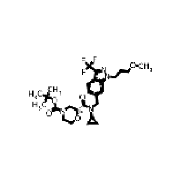 COCCCn1nc(C(F)(F)F)c2ccc(CN(C(=O)[C@H]3CN(C(=O)OC(C)(C)C)CCO3)C3CC3)cc21